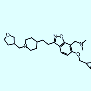 CN(C)Cc1c(OCC2CC2)ccc2c(CCC3CCN(CC4CCOC4)CC3)noc12